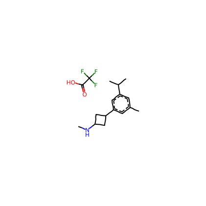 CNC1CC(c2cc(C)cc(C(C)C)c2)C1.O=C(O)C(F)(F)F